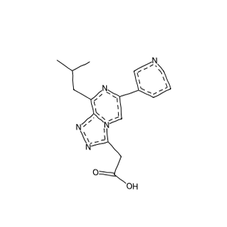 CC(C)Cc1nc(-c2cccnc2)cn2c(CC(=O)O)nnc12